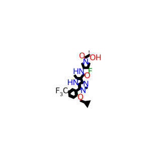 Cc1[nH]c2c(-c3cc(C(F)(F)F)ccc3OCC3CC3)ncnc2c1C(=O)N[C@@H]1CN(C(=O)[C@H](C)O)C[C@H]1F